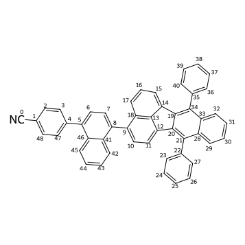 N#Cc1ccc(-c2ccc(-c3ccc4c5c(cccc35)-c3c-4c(-c4ccccc4)c4ccccc4c3-c3ccccc3)c3ccccc23)cc1